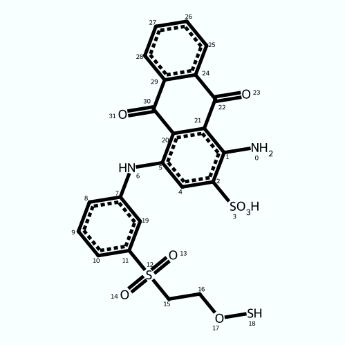 Nc1c(S(=O)(=O)O)cc(Nc2cccc(S(=O)(=O)CCOS)c2)c2c1C(=O)c1ccccc1C2=O